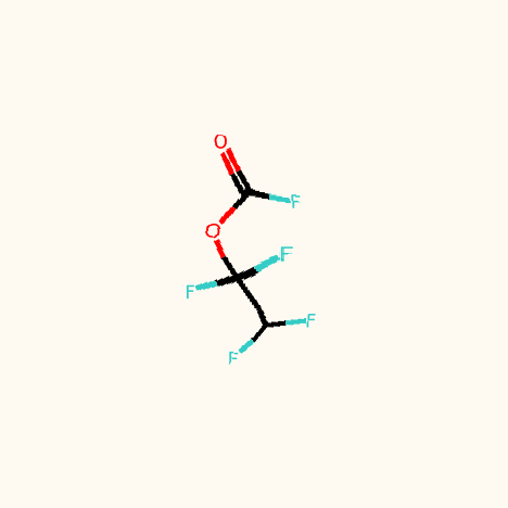 O=C(F)OC(F)(F)C(F)F